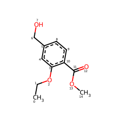 CCOc1cc(CO)ccc1C(=O)OC